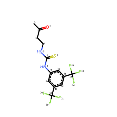 CC(=O)CCNC(=S)Nc1cc(C(F)(F)F)cc(C(F)(F)F)c1